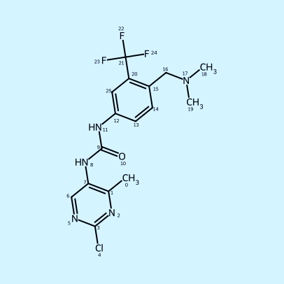 Cc1nc(Cl)ncc1NC(=O)Nc1ccc(CN(C)C)c(C(F)(F)F)c1